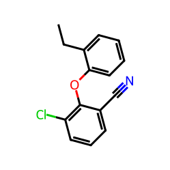 CCc1ccccc1Oc1c(Cl)cccc1C#N